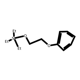 CC[Si](CC)(CC)OCCOc1ccccc1